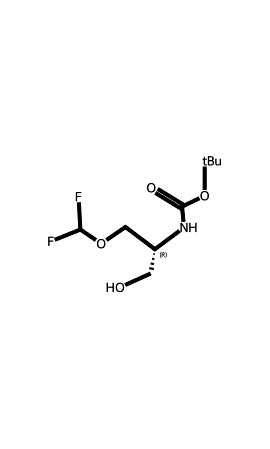 CC(C)(C)OC(=O)N[C@H](CO)COC(F)F